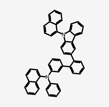 c1ccc(N(c2cccc(-c3ccccc3-c3ccc4c(c3)c3ccccc3n4-c3cccc4ccccc34)c2)c2cccc3ccccc23)cc1